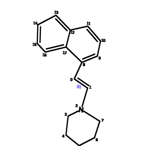 C(=C\N1CCCCC1)/c1cccc2ccccc12